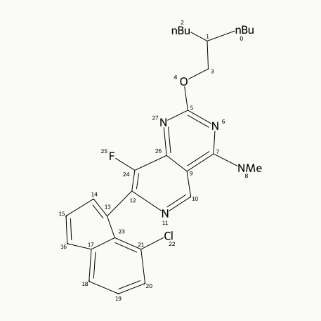 CCCCC(CCCC)COc1nc(NC)c2cnc(-c3cccc4cccc(Cl)c34)c(F)c2n1